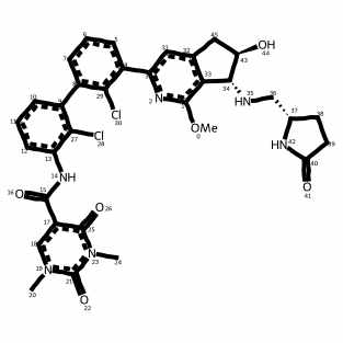 COc1nc(-c2cccc(-c3cccc(NC(=O)c4cn(C)c(=O)n(C)c4=O)c3Cl)c2Cl)cc2c1[C@@H](NC[C@@H]1CCC(=O)N1)[C@H](O)C2